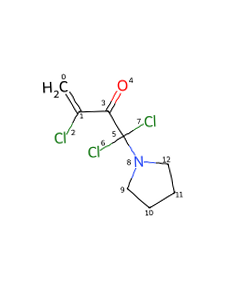 C=C(Cl)C(=O)C(Cl)(Cl)N1CCCC1